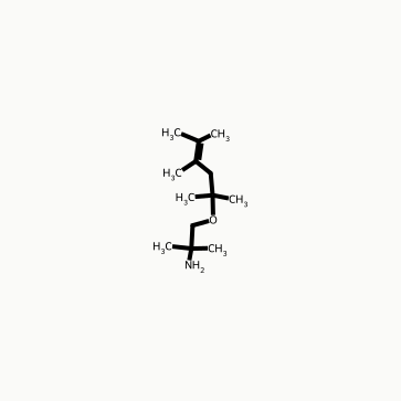 CC(C)=C(C)CC(C)(C)OCC(C)(C)N